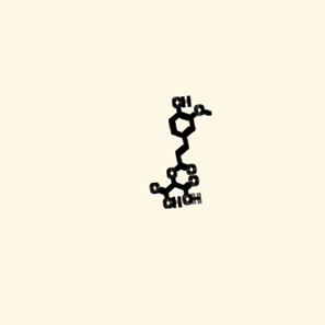 COc1cc(C=CC(=O)OC(C(=O)O)C(=O)O)ccc1O